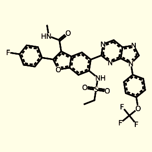 CCS(=O)(=O)Nc1cc2oc(-c3ccc(F)cc3)c(C(=O)NC)c2cc1-c1ncc2ncn(-c3ccc(OC(F)(F)F)cc3)c2n1